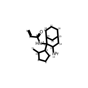 C=CC(=O)NC1(C2CCCC2C)C(CCC)CC2CCCC1C2